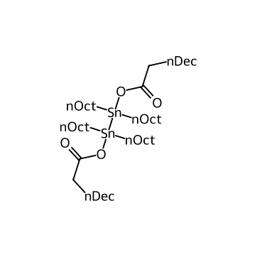 CCCCCCCCCCCC(=O)[O][Sn]([CH2]CCCCCCC)([CH2]CCCCCCC)[Sn]([CH2]CCCCCCC)([CH2]CCCCCCC)[O]C(=O)CCCCCCCCCCC